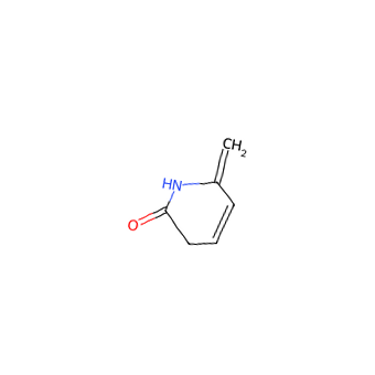 C=C1C=CCC(=O)N1